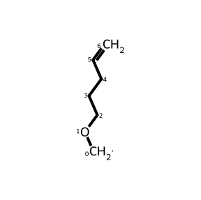 [CH2]OCCCC=C